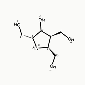 OC[C@@H]1C(O)[C@@H](CO)N[C@@H]1CO